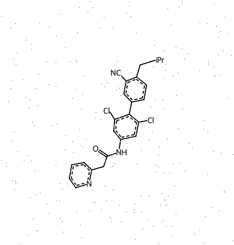 CC(C)Cc1ccc(-c2c(Cl)cc(NC(=O)Cc3ccccn3)cc2Cl)cc1C#N